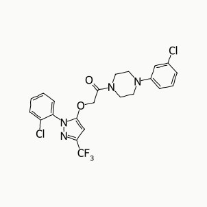 O=C(COc1cc(C(F)(F)F)nn1-c1ccccc1Cl)N1CCN(c2cccc(Cl)c2)CC1